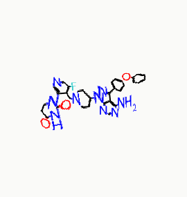 Nc1ncnc2c1c(-c1ccc(Oc3ccccc3)cc1)nn2C1CCN(Cc2c(F)cncc2N2CCC(=O)NC2=O)CC1